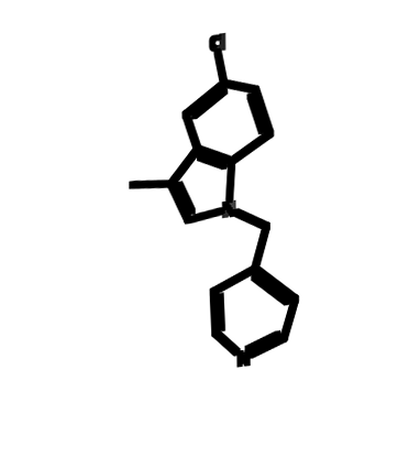 Cc1cn(Cc2ccncc2)c2ccc(Cl)cc12